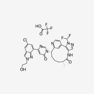 C[C@@H]1CCC[C@H](n2cnc(-c3cc(Cl)cc4cn(CCO)nc34)cc2=O)c2cc(ccn2)-c2c(cnn2C(F)F)NC1=O.O=C(O)C(F)(F)F